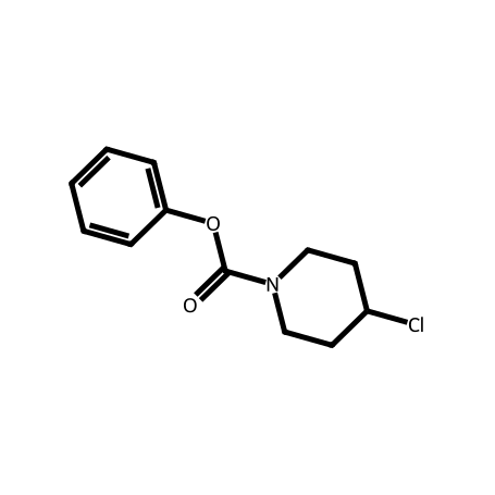 O=C(Oc1ccccc1)N1CCC(Cl)CC1